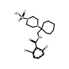 CCCS(=O)(=O)N1CCN(C2(CNC(=O)c3c(Cl)cccc3Cl)CCCCCC2)CC1